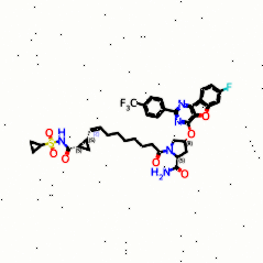 NC(=O)[C@@H]1C[C@@H](Oc2nc(-c3ccc(C(F)(F)F)cc3)nc3c2oc2cc(F)ccc23)CN1C(=O)CCCCCC/C=C\[C@@H]1C[C@@H]1C(=O)NS(=O)(=O)C1CC1